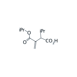 C=C(C(=O)OC(C)C)C(C(=O)O)C(C)C